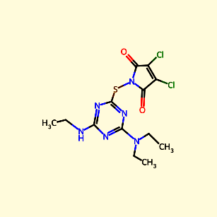 CCNc1nc(SN2C(=O)C(Cl)=C(Cl)C2=O)nc(N(CC)CC)n1